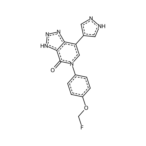 O=c1c2[nH]nnc2c(-c2cn[nH]c2)cn1-c1ccc(OCF)cc1